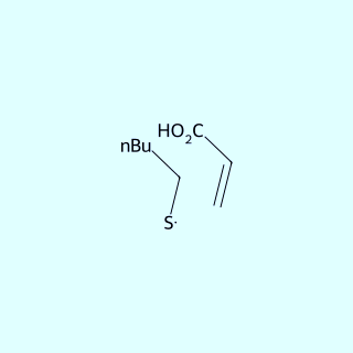 C=CC(=O)O.CCCCC[S]